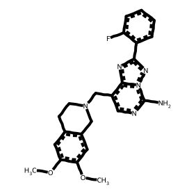 COc1cc2c(cc1OC)CN(Cc1cnc(N)n3nc(-c4ccccc4F)nc13)CC2